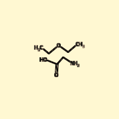 CCOCC.NCC(=O)O